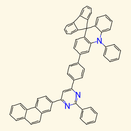 c1ccc(-c2nc(-c3ccc(-c4ccc5c(c4)N(c4ccccc4)c4ccccc4C54c5ccccc5-c5ccccc54)cc3)cc(-c3ccc4c(ccc5ccccc54)c3)n2)cc1